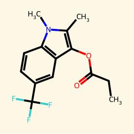 CCC(=O)Oc1c(C)n(C)c2ccc(C(F)(F)F)cc12